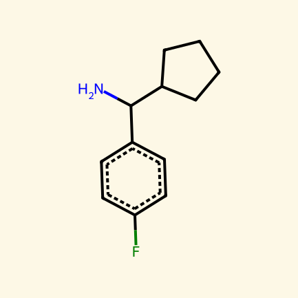 NC(c1ccc(F)cc1)C1CCCC1